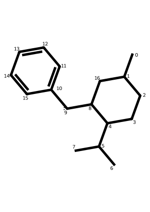 CC1CCC(C(C)C)C([C]c2ccccc2)C1